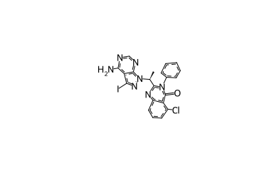 C[C@@H](c1nc2cccc(Cl)c2c(=O)n1-c1ccccc1)n1nc(I)c2c(N)ncnc21